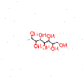 C[C@H](O)C(O)C(O)C(O)C(O)C(O)CO